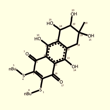 CCCCSC1=C(SCCCC)C(=O)c2c(O)c3c(c(O)c2C1=O)CC(C)(O)C(O)C3O